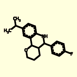 CC(C)c1ccc2c(c1)C1OCCCC1C(c1ccc(F)cc1)N2